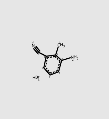 Br.Cc1c(N)cccc1C#N